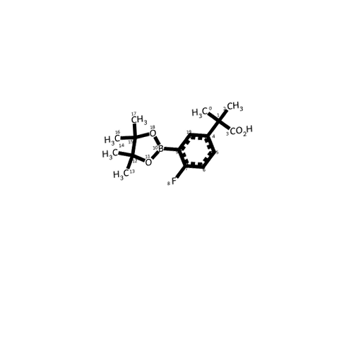 CC(C)(C(=O)O)c1ccc(F)c(B2OC(C)(C)C(C)(C)O2)c1